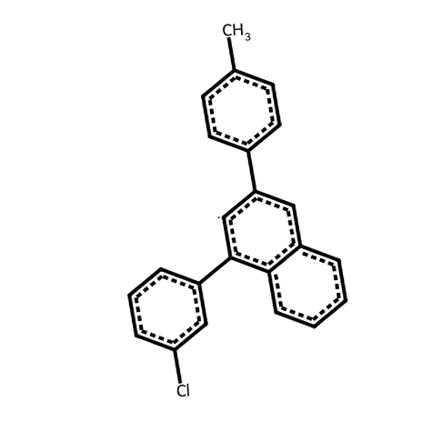 Cc1ccc(-c2[c]c(-c3cccc(Cl)c3)c3ccccc3c2)cc1